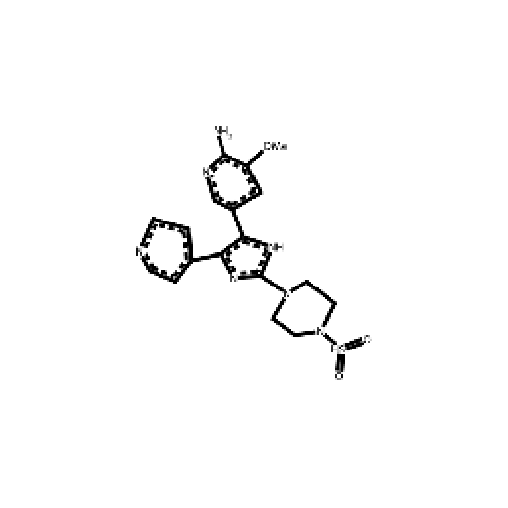 COc1cc(-c2[nH]c(N3CCN([SH](=O)=O)CC3)nc2-c2ccncc2)cnc1N